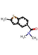 [CH2]c1cc2cc(C(=O)N(C)C)ccc2s1